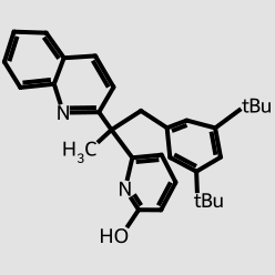 CC(C)(C)c1cc(CC(C)(c2cccc(O)n2)c2ccc3ccccc3n2)cc(C(C)(C)C)c1